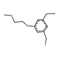 COCCOc1cc(CI)cc(CI)c1